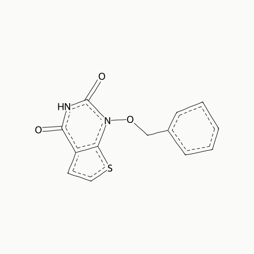 O=c1[nH]c(=O)n(OCc2ccccc2)c2sccc12